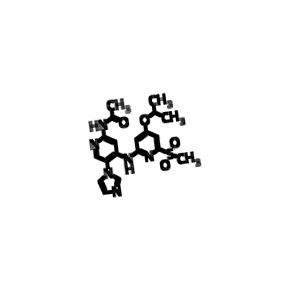 CC(=O)Nc1cc(Nc2cc(OC(C)C)cc(S(C)(=O)=O)n2)c(-n2ccnc2)cn1